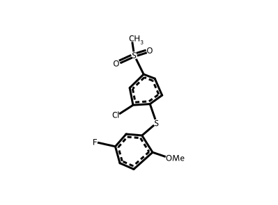 COc1ccc(F)cc1Sc1ccc(S(C)(=O)=O)cc1Cl